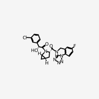 O=C(NCc1cc(F)ccc1-n1cnnn1)[C@@H]1C[C@@H]2C[C@@H]2N1C(=O)[C@H](O)c1cccc(Cl)c1